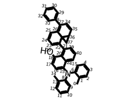 Cc1ccccc1N(c1ccccc1C)c1ccc(O)c2c(C3=CC=CC4=C(c5ccccc5)C=CC5CC345)cccc12